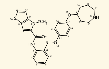 Cn1c(C(=O)Nc2ccccc2COc2ccc(OC3CCCNCC3)cc2)cc2sccc21